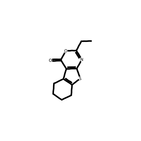 CCc1nc2sc3c(c2c(=O)o1)CCCC3